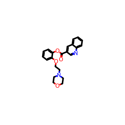 O=C(Oc1ccccc1OCCN1CCOCC1)c1cnc2ccccc2c1